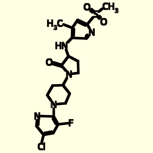 Cc1cc(S(C)(=O)=O)ncc1NC1CCN(C2CCN(c3ncc(Cl)cc3F)CC2)C1=O